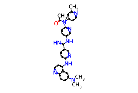 CC(=O)N(c1ccnc(C)c1)c1ccc(NC(=N)c2ccc(Nc3ccnc4ccc(N(C)C)cc34)nc2)cn1